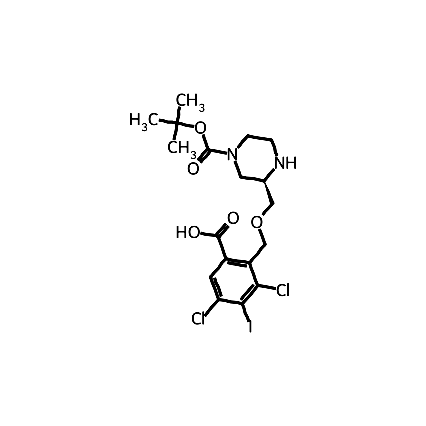 CC(C)(C)OC(=O)N1CCN[C@@H](COCc2c(C(=O)O)cc(Cl)c(I)c2Cl)C1